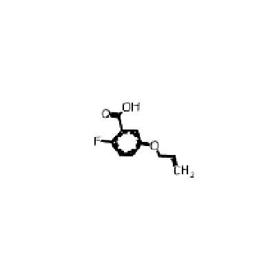 C=CCOc1ccc(F)c(C(=O)O)c1